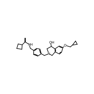 C=C(NCc1ccc(CN2Cc3ccc(OCC4CC4)cc3C(O)C2)cc1)C1CCC1